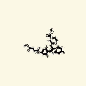 COC(=O)N1CCO[C@@H](Cc2c(-c3c(F)cc(NC(=O)CCC(=O)O)cc3F)nc3cc(C)ccn23)C1